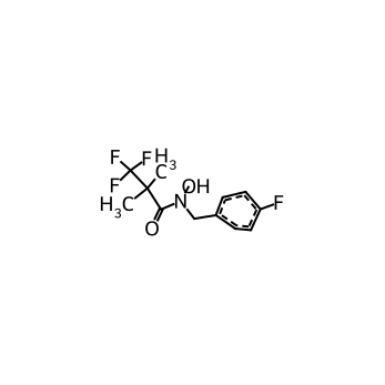 CC(C)(C(=O)N(O)Cc1ccc(F)cc1)C(F)(F)F